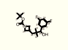 CC(C)(C)OC(=O)N1CC(CC(C)(C)C(O)c2cc(F)cc(F)c2)C1